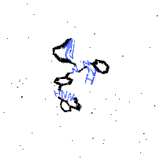 CC1(NCc2ccc(CN(Cc3ccccn3)Cc3nc4ccccc4[nH]3)cc2)CCCc2cccnc21